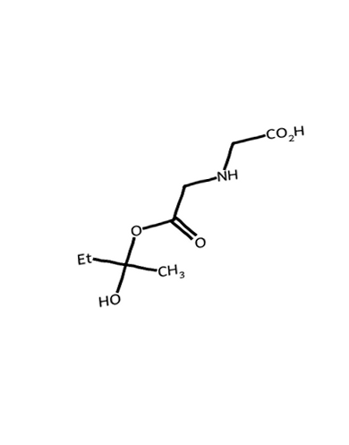 CCC(C)(O)OC(=O)CNCC(=O)O